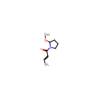 C/C=C/C(=O)N1CCCC1OC=O